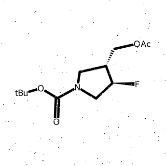 CC(=O)OC[C@H]1CN(C(=O)OC(C)(C)C)C[C@@H]1F